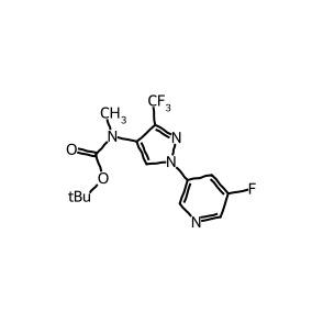 CN(C(=O)OC(C)(C)C)c1cn(-c2cncc(F)c2)nc1C(F)(F)F